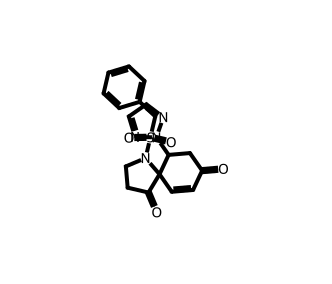 O=C1C=CC2(C(=O)CCN2S(=O)(=O)Cc2ccccc2)C(n2nccn2)C1